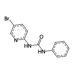 O=C(Nc1ccccc1)Nc1ccc(Br)cn1